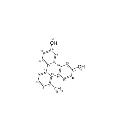 Cc1[c]ccc(-c2ccc(O)cc2)c1-c1ccc(O)cc1